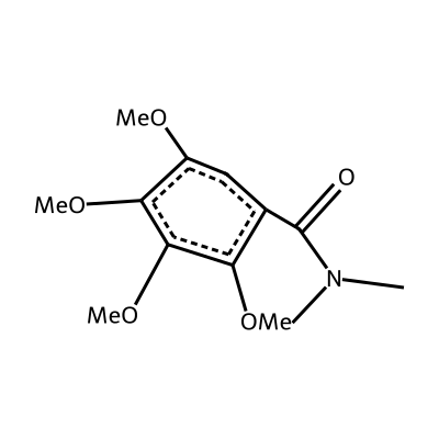 COc1cc(C(=O)N(C)C)c(OC)c(OC)c1OC